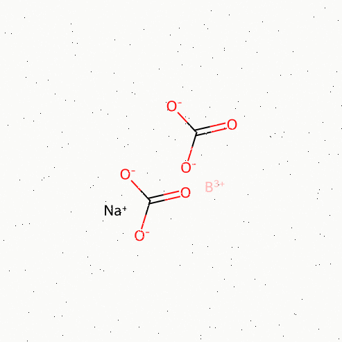 O=C([O-])[O-].O=C([O-])[O-].[B+3].[Na+]